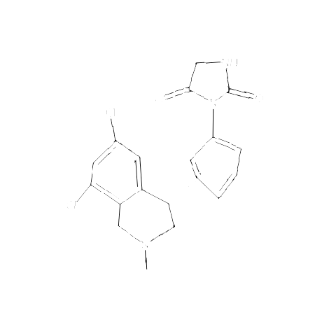 CN1Cc2c(Cl)cc(Cl)cc2[C@H](c2cccc(N3C(=O)CNC3=O)c2)C1